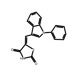 O=C1NC(=O)/C(=C/c2cn(-c3ccccc3)c3ccccc23)S1